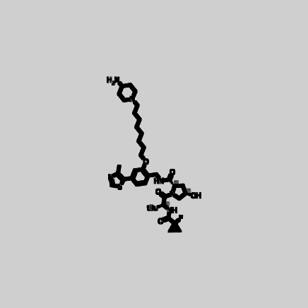 Cc1ncsc1-c1ccc(CNC(=O)[C@@H]2C[C@@H](O)CN2C(=O)[C@@H](NC(=O)C2(F)CC2)C(C)(C)C)c(OCCCCCCCCN2CCC(N)CC2)c1